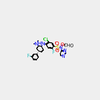 CN(C)[C@H]1C[C@@H](c2cccc(F)c2)CC[C@@H]1Nc1cc(F)c(S(=O)(=O)N(OC=O)c2ccncn2)cc1Cl